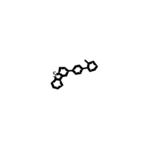 Cc1ccccc1-c1ccc(-c2ccc3sc4ccccc4c3c2)cc1